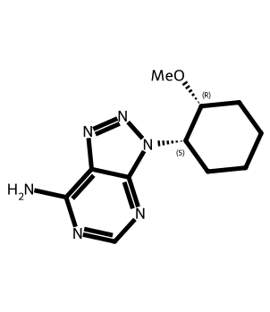 CO[C@@H]1CCCC[C@@H]1n1nnc2c(N)ncnc21